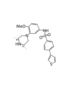 COc1ccc(NS(=O)(=O)c2ccc(-c3ccsc3)cc2)cc1N1C[C@@H](C)N[C@@H](C)C1